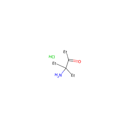 CCC(=O)C(N)(CC)CC.Cl